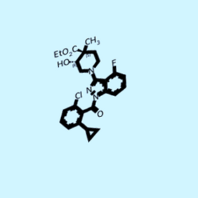 CCOC(=O)[C@@]1(C)CCN(c2nn(C(=O)c3c(Cl)cccc3C3CC3)c3cccc(F)c23)C[C@@H]1O